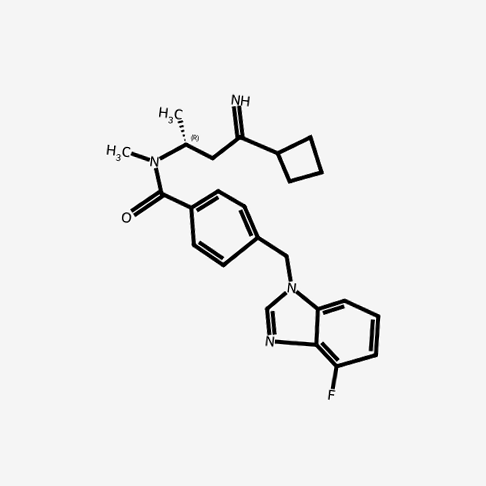 C[C@H](CC(=N)C1CCC1)N(C)C(=O)c1ccc(Cn2cnc3c(F)cccc32)cc1